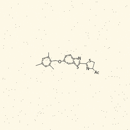 CC(=O)C1CSC(c2nc3ccc(OCc4c(C)cc(C)cc4C)cc3s2)=N1